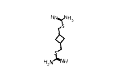 N=C(N)SCC1CC(CSC(=N)N)C1